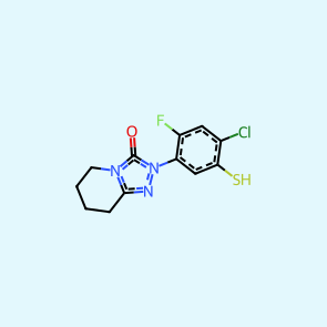 O=c1n(-c2cc(S)c(Cl)cc2F)nc2n1CCCC2